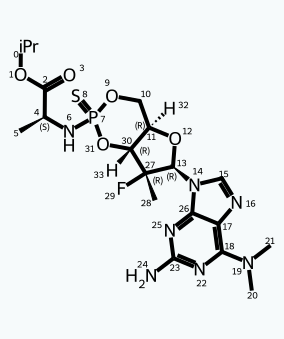 CC(C)OC(=O)[C@H](C)NP1(=S)OC[C@H]2O[C@@H](n3cnc4c(N(C)C)nc(N)nc43)[C@](C)(F)[C@@H]2O1